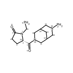 O=C([C@@H]1CCC(=O)N1CP)N1CC2CC(CN(P)C2)C1